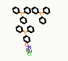 O=[N][Ru][Cl].c1ccc(P(c2ccccc2)c2ccccc2)cc1.c1ccc(P(c2ccccc2)c2ccccc2)cc1.c1ccc(P(c2ccccc2)c2ccccc2)cc1